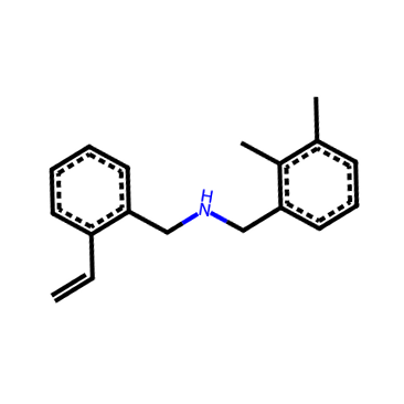 C=Cc1ccccc1CNCc1cccc(C)c1C